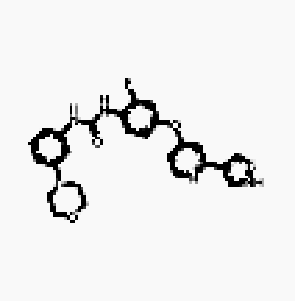 O=C(Nc1cccc(N2CCOCC2)c1)Nc1ccc(Oc2ccnc(-c3cn[nH]c3)c2)cc1F